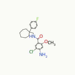 COc1cc(N)c(Cl)cc1C(=O)NCC1(c2ccc(F)cc2)CCCCCC1